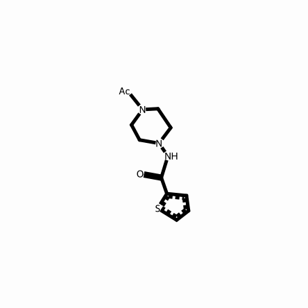 CC(=O)N1CCN(NC(=O)c2cccs2)CC1